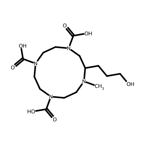 CN1CCN(C(=O)O)CCN(C(=O)O)CCN(C(=O)O)CC1CCCO